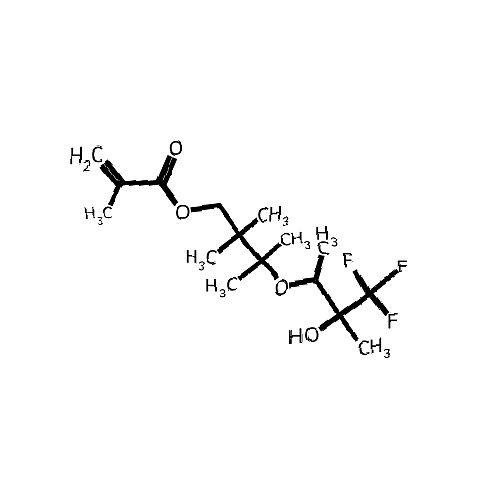 C=C(C)C(=O)OCC(C)(C)C(C)(C)OC(C)C(C)(O)C(F)(F)F